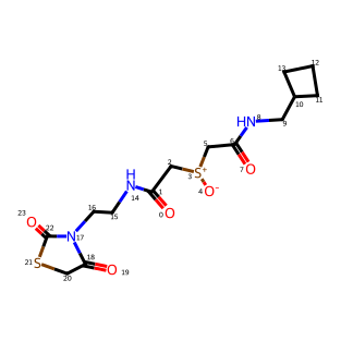 O=C(C[S+]([O-])CC(=O)NCC1CCC1)NCCN1C(=O)CSC1=O